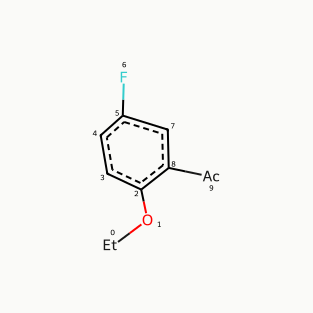 CCOc1ccc(F)cc1C(C)=O